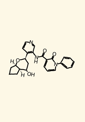 O=C(Nc1cnccc1[C@H]1C[C@@H](O)[C@H]2CCC[C@H]2O1)c1cccn(-c2ccccc2)c1=O